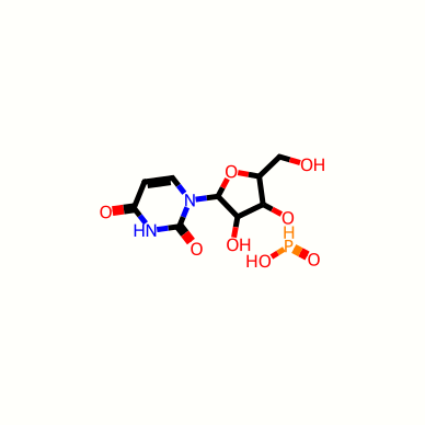 O=c1ccn(C2OC(CO)C(O[PH](=O)O)C2O)c(=O)[nH]1